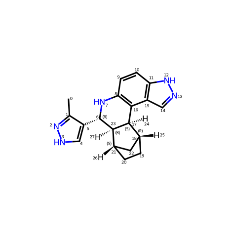 Cc1n[nH]cc1[C@@H]1Nc2ccc3[nH]ncc3c2[C@H]2[C@@H]3CC[C@@H](C3)[C@H]21